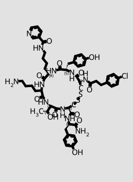 C[C@@H](O)[C@@H]1NC(=O)C(CCCCN)NC(=O)[C@@H](CCCCNC(=O)c2cccnc2)NC(=O)[C@H](Cc2ccc(O)cc2)NC(=O)[C@H](NC(=O)CCc2ccc(Cl)cc2)CSSC[C@@H](C(=O)N[C@H](Cc2ccc(O)cc2)C(N)=O)NC1=O